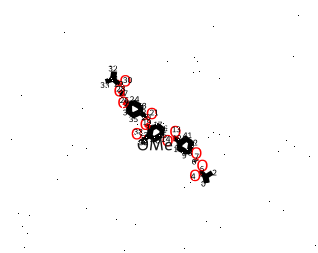 C=C(C)C(=O)OCOc1ccc(C(=O)Oc2ccc(OC(=O)c3ccc(OCOC(=O)C(=C)C)cc3)c(C(=O)OC)c2)cc1